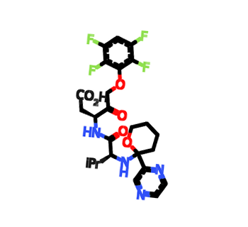 CC(C)[C@H](NC1(c2cnccn2)CCCCO1)C(=O)N[C@@H](CC(=O)O)C(=O)COc1c(F)c(F)cc(F)c1F